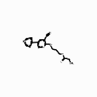 CCC(=O)OCCCNc1ncc(-c2ccncc2)cc1C#N